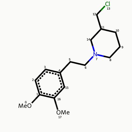 COc1ccc(CCN2CCCC(CCl)C2)cc1OC